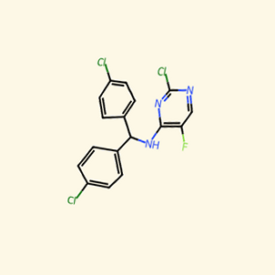 Fc1cnc(Cl)nc1NC(c1ccc(Cl)cc1)c1ccc(Cl)cc1